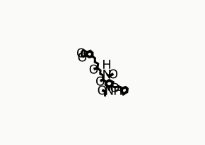 CC(=O)Nc1cc(C(=O)C(CCC(=O)CCCc2ccc3c(c2)OOC3)NC=O)ccc1OCc1ccccc1